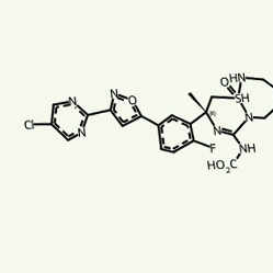 C[C@@]1(c2cc(-c3cc(-c4ncc(Cl)cn4)no3)ccc2F)C[SH]2(=O)NCCCCN2C(NC(=O)O)=N1